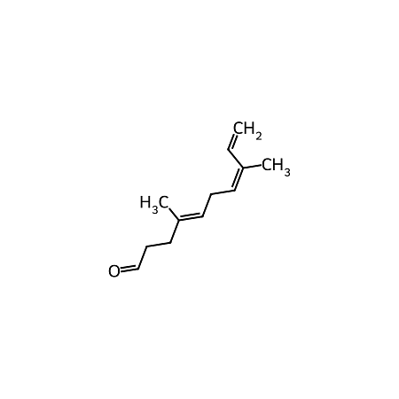 C=CC(C)=CC/C=C(\C)CCC=O